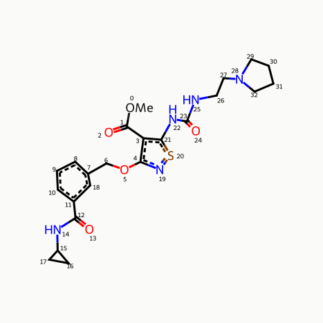 COC(=O)c1c(OCc2cccc(C(=O)NC3CC3)c2)nsc1NC(=O)NCCN1CCCC1